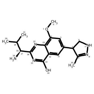 COc1cc(C2CNN=C2C)cc2c(O)nc([C@@H](N)C(C)C)nc12